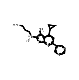 COCCC[S@@+]([O-])c1sc2nc(-c3cncnc3)cc(C3CC3)c2c1N